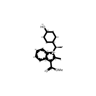 COC(=O)c1c(C)n([C@H](C)C2CCC(O)CC2)c2ccccc12